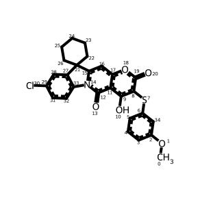 COc1cccc(Sc2c(O)c3c(=O)n4c(cc3oc2=O)C2(CCCCC2)c2cc(Cl)ccc2-4)c1